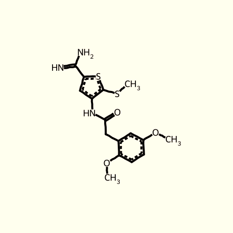 COc1ccc(OC)c(CC(=O)Nc2cc(C(=N)N)sc2SC)c1